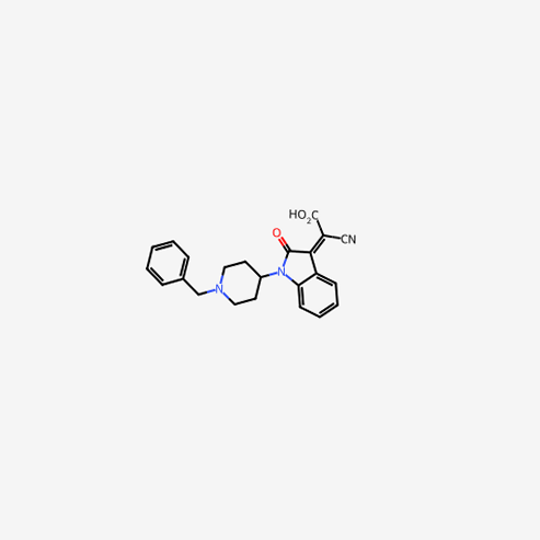 N#C/C(C(=O)O)=C1/C(=O)N(C2CCN(Cc3ccccc3)CC2)c2ccccc21